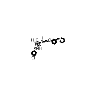 Cn1nc(NSc2ccc(Cl)cc2)nc1NCCCOc1cccc(CN2CCCCC2)c1